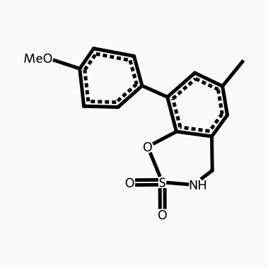 COc1ccc(-c2cc(C)cc3c2OS(=O)(=O)NC3)cc1